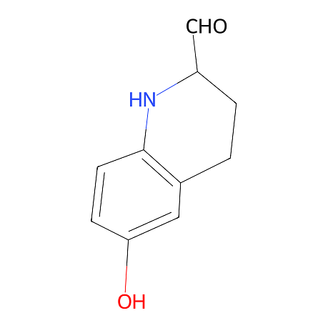 O=CC1CCc2cc(O)ccc2N1